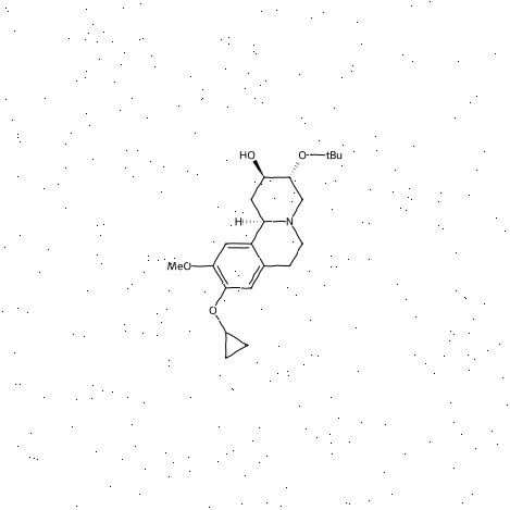 COc1cc2c(cc1OC1CC1)CCN1C[C@@H](OC(C)(C)C)[C@H](O)C[C@H]21